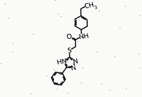 CCC1=CCC(NC(=O)CSc2nnc(-c3ccccc3)[nH]2)C=C1